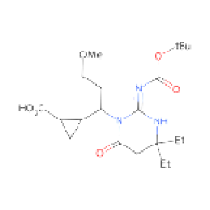 CCC1(CC)CC(=O)N(C(CCOC)C2CC2C(=O)O)/C(=N/C(=O)OC(C)(C)C)N1